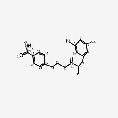 CC(Cc1cc(F)cc(F)c1)NCCCc1ccc(C(N)=O)cc1